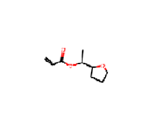 C=CC(=O)OC(C)C1CCCO1